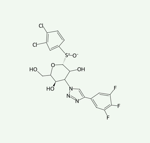 [O-][S+](c1ccc(Cl)c(Cl)c1)[C@H]1OC(CO)[C@H](O)C(n2cc(-c3cc(F)c(F)c(F)c3)nn2)C1O